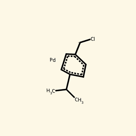 CC(C)c1ccc([CH]Cl)cc1.[Pd]